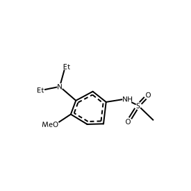 CCN(CC)c1cc(NS(C)(=O)=O)ccc1OC